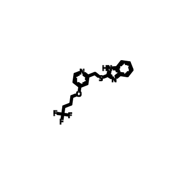 FC(F)(F)CCCOc1ccnc(CSc2nc3ccccc3[nH]2)c1